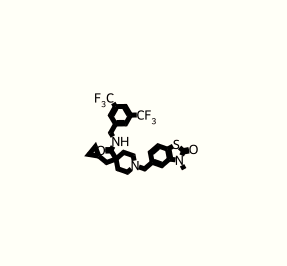 Cn1c(=O)sc2ccc(CN3CCC(CC4CC4)(C(=O)NCc4cc(C(F)(F)F)cc(C(F)(F)F)c4)CC3)cc21